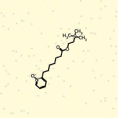 C[Si](C)(C)CCOC(=O)CCCCCCc1cccc[n+]1[O-]